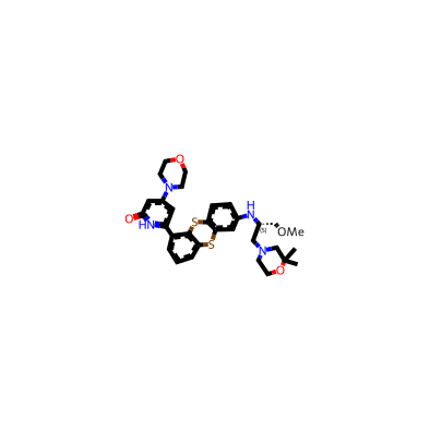 COC[C@H](CN1CCOC(C)(C)C1)Nc1ccc2c(c1)Sc1cccc(-c3cc(N4CCOCC4)cc(=O)[nH]3)c1S2